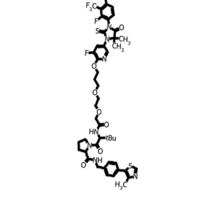 Cc1ncsc1-c1ccc(CNC(=O)C2CCCN2C(=O)C(NC(=O)COCCOCCCOc2ncc(N3C(=S)N(c4ccc(C#N)c(C(F)(F)F)c4F)C(=O)C3(C)C)cc2F)C(C)(C)C)cc1